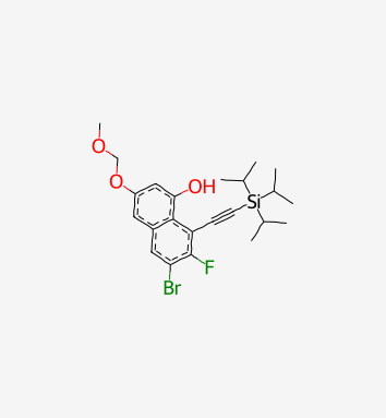 COCOc1cc(O)c2c(C#C[Si](C(C)C)(C(C)C)C(C)C)c(F)c(Br)cc2c1